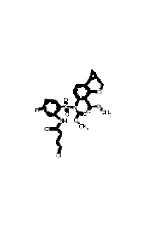 COC(=O)c1c(N(C(=O)OC)S(=O)(=O)c2ccc(F)cc2NC(=O)CCCCl)ccc2c1OCC1CC21